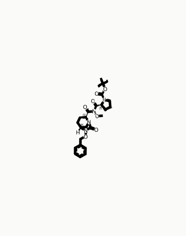 CON(C(=O)[C@@H]1CCCN1C(=O)OC(C)(C)C)C(=O)[C@@H]1CC[C@@H]2CN1C(=O)N2OCc1ccccc1